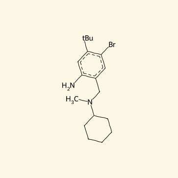 CN(Cc1cc(Br)c(C(C)(C)C)cc1N)C1CCCCC1